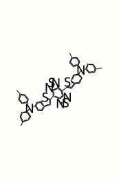 Cc1ccc(N(c2ccc(C)cc2)c2ccc3cc(-c4c5c(c(-c6cc7ccc(N(c8ccc(C)cc8)c8ccc(C)cc8)cc7s6)c6nsnc46)N=S=N5)sc3c2)cc1